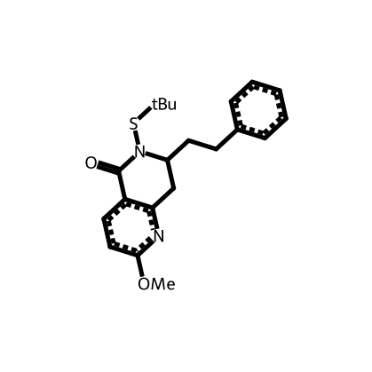 COc1ccc2c(n1)CC(CCc1ccccc1)N(SC(C)(C)C)C2=O